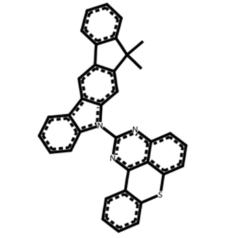 CC1(C)c2ccccc2-c2cc3c4ccccc4n(-c4nc5c6c(cccc6n4)Sc4ccccc4-5)c3cc21